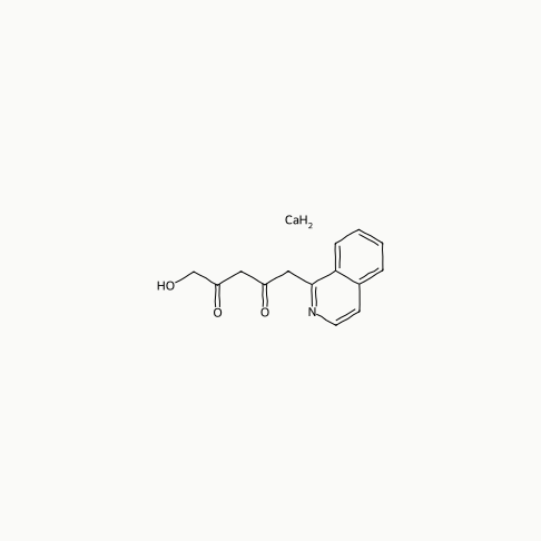 O=C(CO)CC(=O)Cc1nccc2ccccc12.[CaH2]